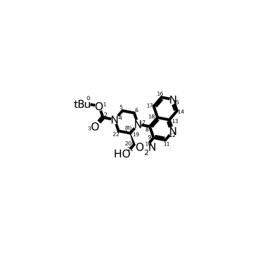 CC(C)(C)OC(=O)N1CCN(c2c([N+](=O)[O-])cnc3cnccc23)[C@@H](CO)C1